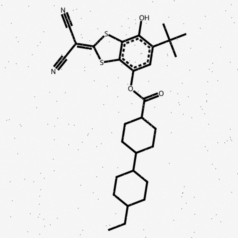 CCC1CCC(C2CCC(C(=O)Oc3cc(C(C)(C)C)c(O)c4c3SC(=C(C#N)C#N)S4)CC2)CC1